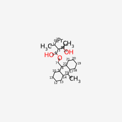 CC(C)C(C)C(C(O)OCC1C2CCCCC2C(C)C2CCCCC21)[C@@H](C)O